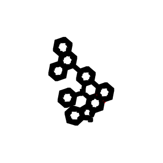 c1ccc(-c2ccc(-c3cc4ccccc4c4ccccc34)cc2N(c2ccccc2)c2cccc3sc4ccccc4c23)cc1